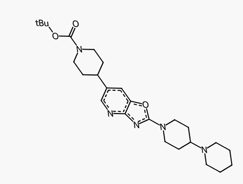 CC(C)(C)OC(=O)N1CCC(c2cnc3nc(N4CCC(N5CCCCC5)CC4)oc3c2)CC1